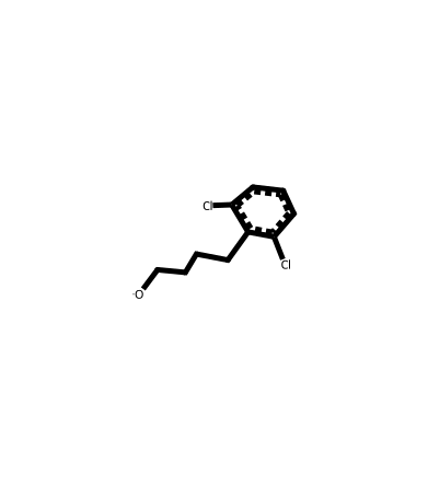 [O]CCCCc1c(Cl)cccc1Cl